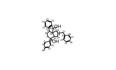 Cc1ccc(C2(O)CCC(c3ccccc3)C3(C(=O)O)CN(Cc4ccccc4)CC23)cc1